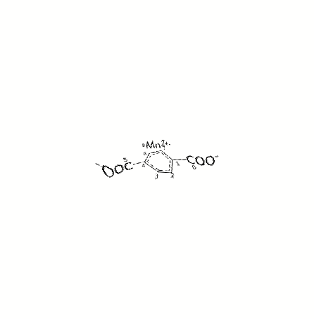 O=C([O-])c1ccc(C(=O)[O-])cc1.[Mn+2]